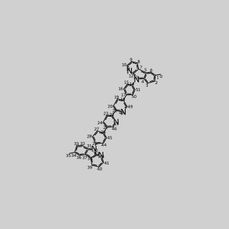 Cc1ccc2c(c1)c1cccnc1n2-c1ccc(-c2ccc(-c3ccc(-c4ccc(-n5c6ccc(C)cc6c6cccnc65)cc4)cn3)nc2)cc1